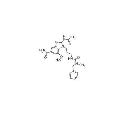 COc1cc(C(N)=O)cc2nc(NC(C)=O)n(CCCNC(=O)N(C)Cc3ccccc3)c12